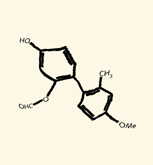 COc1ccc(-c2ccc(O)cc2OC=O)c(C)c1